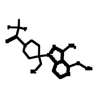 CCCCOc1nccc2c1c(N)nn2C1(CC#N)CCN(C(=O)C(C)(F)F)CC1